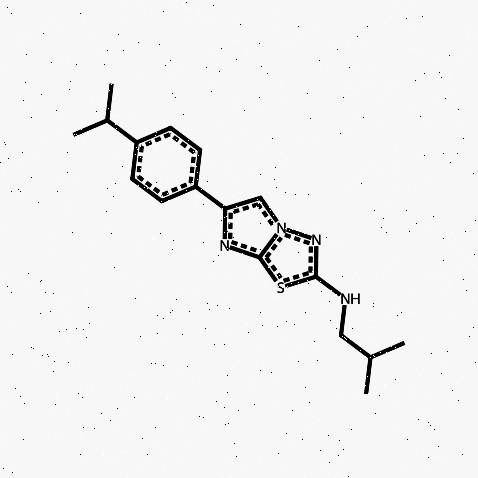 CC(C)CNc1nn2cc(-c3ccc(C(C)C)cc3)nc2s1